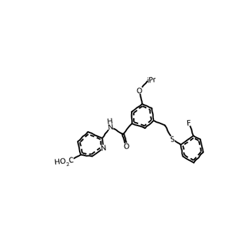 CC(C)Oc1cc(CSc2ccccc2F)cc(C(=O)Nc2ccc(C(=O)O)cn2)c1